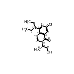 CCN(CC)c1nc(Cl)cc2c(=O)n([C@@H](C)CO)cnc12